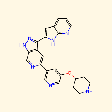 c1cnc2[nH]c(-c3n[nH]c4cnc(-c5cncc(OC6CCNCC6)c5)cc34)cc2c1